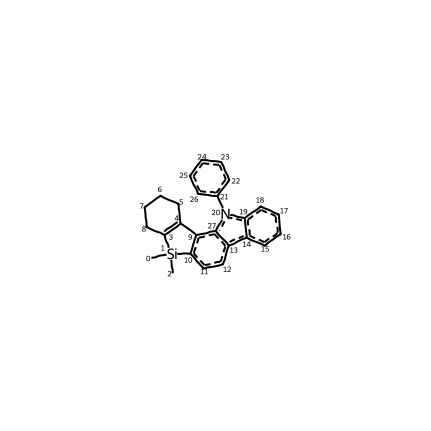 C[Si]1(C)C2=C(CCCC2)c2c1ccc1c3ccccc3n(-c3ccccc3)c21